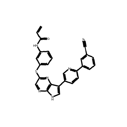 C=CC(=O)Nc1cccc(Sc2cnc3[nH]cc(-c4ccc(-c5cccc(C#N)c5)nc4)c3n2)c1